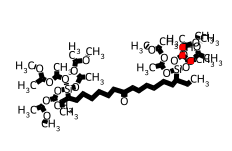 CCC(CCCCCCC(=O)CCCCCCC(CC)[Si](OC(C)OC(C)OC)(OC(C)OC(C)OC)OC(C)OC(C)OC)[Si](OC(C)OC(C)OC)(OC(C)OC(C)OC)OC(C)OC(C)OC